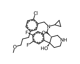 COCCCc1ccc(Cl)c(CN(C(=O)[C@H]2CNCC[C@]2(O)c2ccc(F)c(F)c2)C2CC2)c1